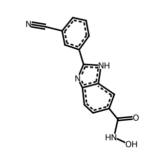 N#Cc1cccc(-c2nc3ccc(C(=O)NO)cc3[nH]2)c1